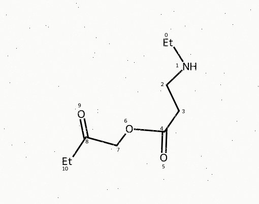 CCNCCC(=O)OCC(=O)CC